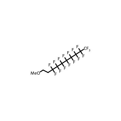 COCCC(F)(F)C(F)(F)C(F)(F)C(F)(F)C(F)(F)C(F)(F)C(F)(F)C(F)(F)F